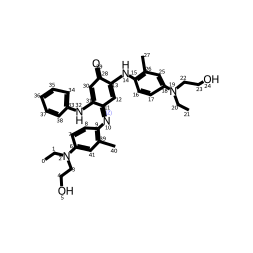 CCN(CCO)c1ccc(/N=C2/C=C(Nc3ccc(N(CC)CCO)cc3C)C(=O)C=C2Nc2ccccc2)c(C)c1